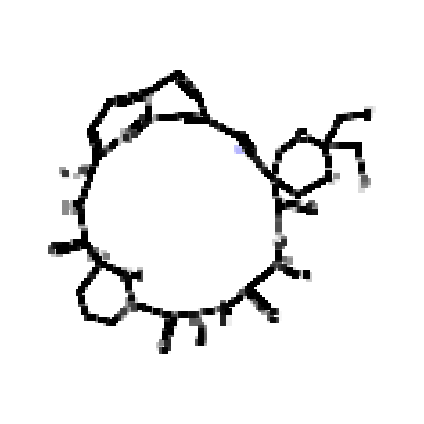 CC(C)[C@@H]1OC(=O)C2(/C=C/c3ccc4ccc(nc4c3)[C@@H](C)NC(=O)[C@@H]3CCCN(N3)C(=O)[C@H](C)NC1=O)COC(CF)(CF)OC2